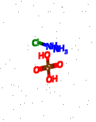 N.NCl.O=S(=O)(O)O